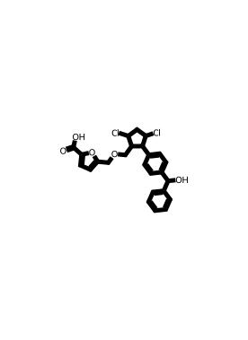 O=C(O)c1ccc(COCC2C(Cl)CC(Cl)C2c2ccc(C(O)c3ccccc3)cc2)o1